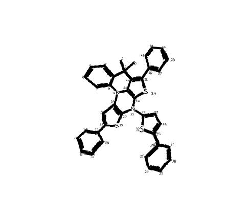 CC1(C)c2ccccc2B2c3cc(-c4ccccc4)sc3N(c3ccc(-c4ccccc4)s3)c3sc(-c4ccccc4)c1c32